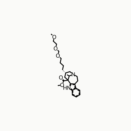 COCCOCOCCCC[C@@H]1CN2CCc3c([nH]c4ccccc34)C(C(=O)OC)(C1)C2C